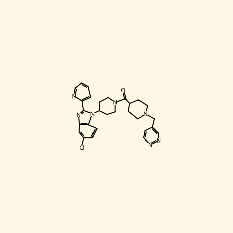 O=C(C1CCN(Cc2ccnnc2)CC1)N1CCC(n2c(-c3ccccn3)nc3cc(Cl)ccc32)CC1